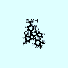 COCC1(c2c(-c3ccc(C(=O)O)cc3)c3c(O)cc(F)cc3n2-c2ccc(F)c(F)c2)CCCC1